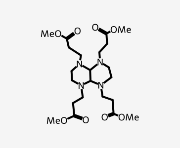 COC(=O)CCN1CCN(CCC(=O)OC)C2C1N(CCC(=O)OC)CCN2CCC(=O)OC